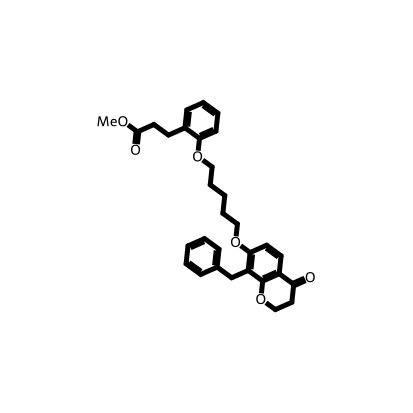 COC(=O)CCc1ccccc1OCCCCCOc1ccc2c(c1Cc1ccccc1)OCCC2=O